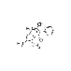 CC(C)C(C(=O)N1C(C)C(C)C[C@H]1C)c1ccccc1